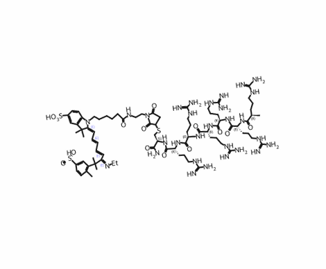 CC\N=C(/C=C/C=C/C=C1/N(CCCCCC(=O)NCCN2C(=O)CC(SC[C@@H](NC(=O)[C@@H](CCCNC(=N)N)NC(=O)[C@@H](CCCNC(=N)N)NC(=O)[C@@H](CCCNC(=N)N)NC(=O)[C@@H](CCCNC(=N)N)NC(=O)[C@@H](CCCNC(=N)N)NC(=O)[C@H](C)CCCNC(=N)N)C(N)=O)C2=O)c2ccc(S(=O)(=O)O)cc2C1(C)C)C(C)(C)c1cc([SH](=O)=O)ccc1C